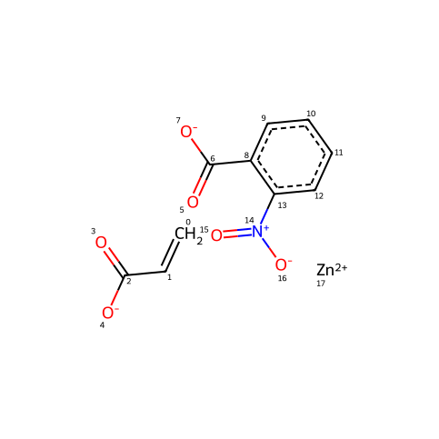 C=CC(=O)[O-].O=C([O-])c1ccccc1[N+](=O)[O-].[Zn+2]